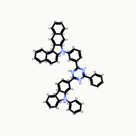 c1ccc(-c2nc(-c3cccc(-n4c5cc6ccccc6cc5c5c6ccccc6ccc54)c3)nc(-c3ccc4c5ccccc5n(-c5ccccc5)c4c3)n2)cc1